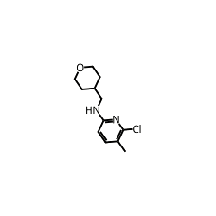 Cc1ccc(NCC2CCOCC2)nc1Cl